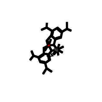 CC1=Cc2c(C(C)C)cc(C(C)C)cc2[CH]1[Hf]([CH3])([CH3])([CH3])([CH3])(=[SiH2])[CH]1C(C)=Cc2c(C(C)C)cc(C(C)C)cc21